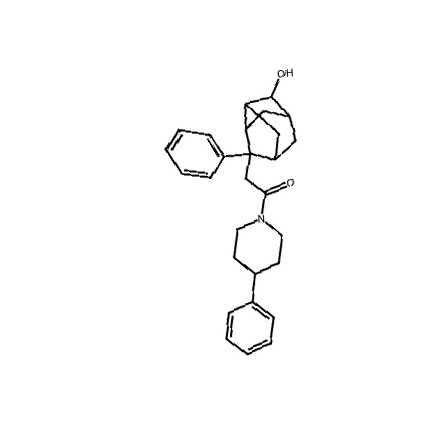 O=C(CC1(c2ccccc2)C2CC3CC1C(C2)C3O)N1CCC(c2ccccc2)CC1